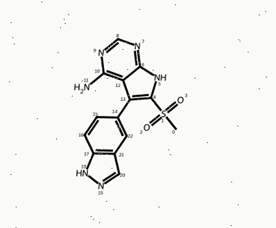 CS(=O)(=O)c1[nH]c2ncnc(N)c2c1-c1ccc2[nH]ncc2c1